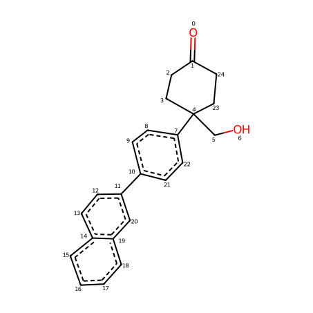 O=C1CCC(CO)(c2ccc(-c3ccc4ccccc4c3)cc2)CC1